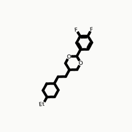 CCC1CCC(CCC2COC(c3ccc(F)c(F)c3)OC2)CC1